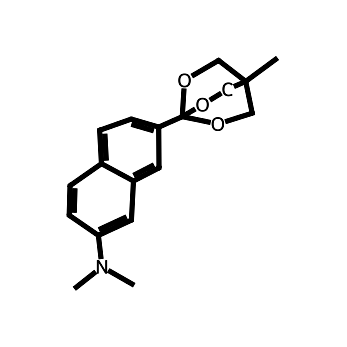 CN(C)c1ccc2ccc(C34OCC(C)(CO3)CO4)cc2c1